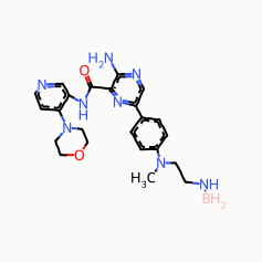 BNCCN(C)c1ccc(-c2cnc(N)c(C(=O)Nc3cnccc3N3CCOCC3)n2)cc1